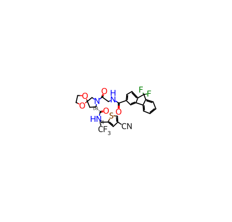 N#Cc1csc([C@H](NC(=O)[C@@H]2CC3(CN2C(=O)CNC(=O)c2ccc4c(c2)-c2ccccc2C4(F)F)OCCO3)C(F)(F)F)c1